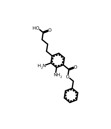 Nc1c(CCCC(=O)O)ccc(C(=O)OCc2ccccc2)c1N